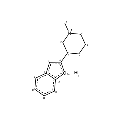 CN1CCCC(c2cc3ccccc3o2)C1.I